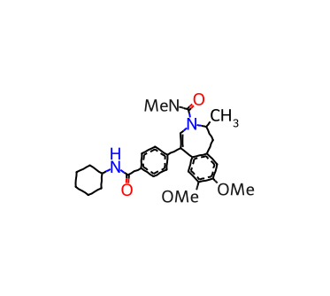 CNC(=O)N1C=C(c2ccc(C(=O)NC3CCCCC3)cc2)c2cc(OC)c(OC)cc2CC1C